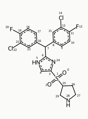 O=S(=O)(c1c[nH]c(C(c2ccc(F)c(Cl)c2)c2ccc(F)c(Cl)c2)n1)C1CCNC1